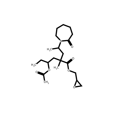 CCC(CC(C)(CC(C)N1CCCCCC1=O)C(=O)OCC1CO1)OC(C)=O